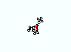 c1ccc(C2(c3ccccc3)c3ccccc3-c3cc(-c4ccc(N(c5ccc(-c6cccc7c6oc6ccccc67)cc5)c5ccc6c(c5)C(c5ccccc5)(c5ccccc5)c5ccccc5-6)cc4)ccc32)cc1